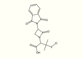 CC(C)(SCl)C(C(=O)O)N1CC(N2C(=O)c3ccccc3C2=O)C1=O